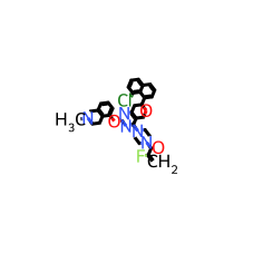 C=C(F)C(=O)N1CCN(c2nc(Oc3cccc4c3CCN(C)C4)nc3c2COC(c2cccc4cccc(Cl)c24)C3)CC1